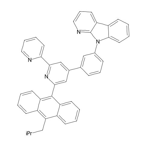 CC(C)Cc1c2ccccc2c(-c2cc(-c3cccc(-n4c5ccccc5c5cccnc54)c3)cc(-c3ccccn3)n2)c2ccccc12